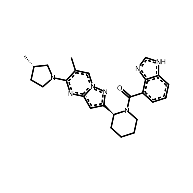 Cc1cn2nc([C@@H]3CCCCN3C(=O)c3cccc4[nH]cnc34)cc2nc1N1CC[C@H](C)C1